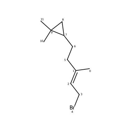 C/C(=C\CBr)CCC1CC1(C)C